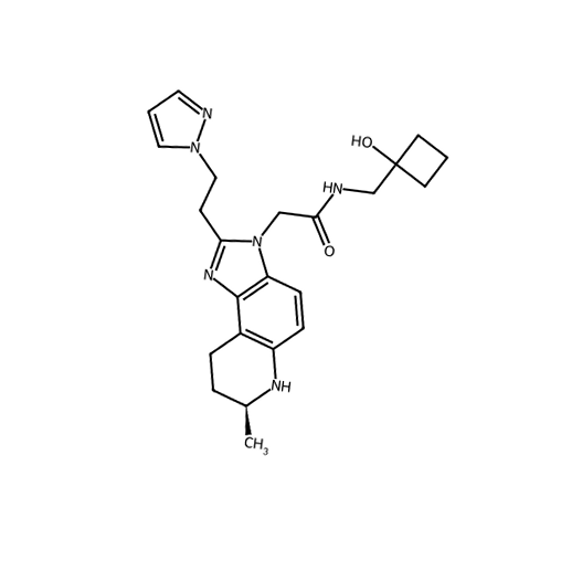 C[C@H]1CCc2c(ccc3c2nc(CCn2cccn2)n3CC(=O)NCC2(O)CCC2)N1